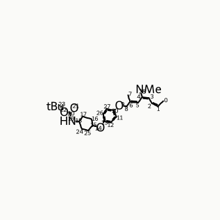 C\C=C/C=C(\C=C(/C)COc1ccc(OC2CCC(NC(=O)OC(C)(C)C)CC2)cc1)NC